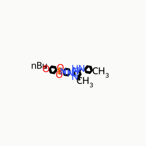 CCCCOc1ccc(S(=O)(=O)N2CCN(c3nc(C)cc(Nc4ccc(C)cc4)n3)CC2)cc1